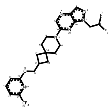 FC(F)Cn1ncc2ncc(N3CCC4(CC3)CC(COc3cccc(C(F)(F)F)n3)C4)nc21